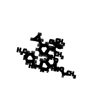 CCONC(=O)c1cnc(Nc2ccc(C)nc2)cc1Nc1ccc(C2CC2)cc1N(C)S(C)(=O)=O